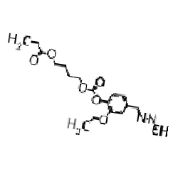 C=CC(=O)OCCCCOC(=O)Oc1ccc(/C=N/N=C)cc1OCC